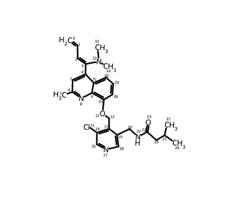 C=C/C=C(/c1cc(C)nc2c(OCc3c(Cl)cncc3CNC(=O)CC(C)C)cccc12)N(C)C